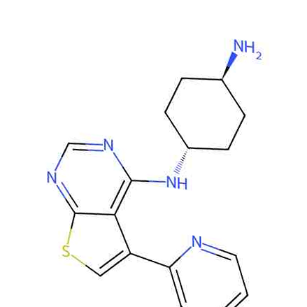 N[C@H]1CC[C@H](Nc2ncnc3scc(-c4ccccn4)c23)CC1